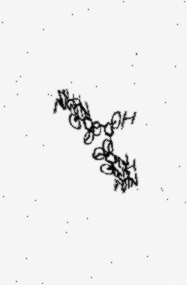 C=NC1=C(N(C)C)C[C@H]2C=Nc3cc(OCc4cc(O)cc(COc5cc6c(cc5OC)C(=O)N5Cc7ncn(C)c7C[C@H]5C=N6)c4)c(OC)cc3C(=O)N2C1